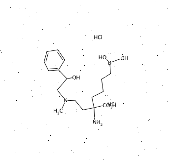 CN(CCC(N)(CCCCB(O)O)C(=O)O)CC(O)c1ccccc1.Cl.Cl